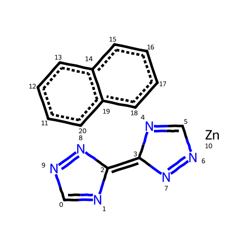 C1=NC(=C2N=CN=N2)N=N1.[Zn].c1ccc2ccccc2c1